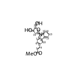 COC(=O)/C=C/c1ccc2c(c1)c1ccccc1n2[C@H]1C[C@@H](O)[C@@H](CO)O1